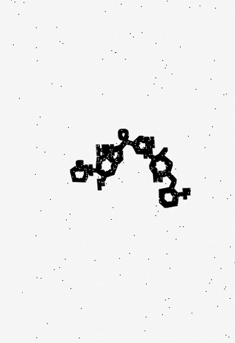 Cc1cc(Cc2ccccc2F)ncc1-n1cc(C(=O)c2cc3cc(F)c(N4CCCS4)cc3[nH]2)cn1